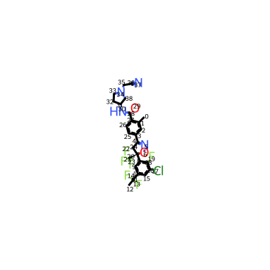 Cc1cc(C2=NO[C@@](c3cc(C(C)(F)F)cc(Cl)c3F)(C(F)(F)F)C2)ccc1C(=O)N[C@@H]1CCN(CC#N)C1